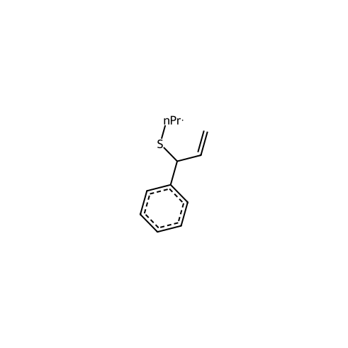 C=CC(S[CH]CC)c1ccccc1